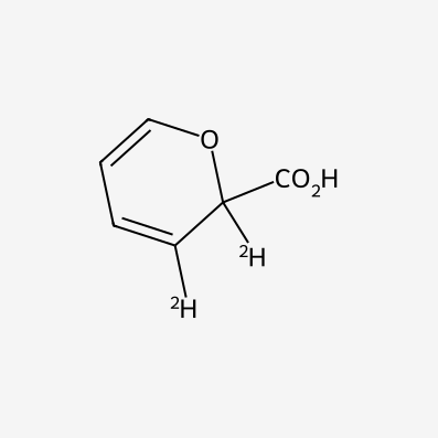 [2H]C1=CC=COC1([2H])C(=O)O